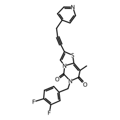 Cc1c(=O)n(Cc2ccc(F)c(F)c2)c(=O)n2cc(C#CCc3ccncc3)sc12